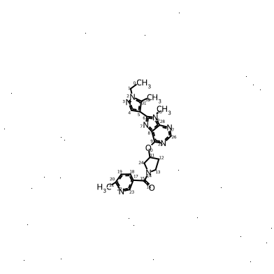 CCn1ncc(-c2nc3c(OC4CCN(C(=O)c5ccc(C)nc5)C4)ncnc3n2C)c1C